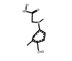 CCNC(=O)CN(C)c1ccc(C=O)c(C)c1